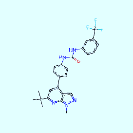 Cn1ncc2c(-c3ccc(NC(=O)Nc4cccc(C(F)(F)F)c4)cc3)cc(C(C)(C)C)nc21